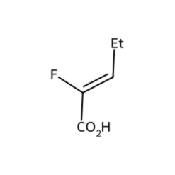 CCC=C(F)C(=O)O